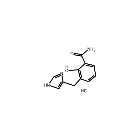 Cl.NC(=O)c1cccc(Cc2c[nH]cn2)c1O